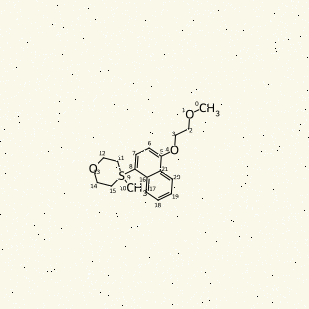 COCCOc1ccc(S2(C)CCOCC2)c2ccccc12